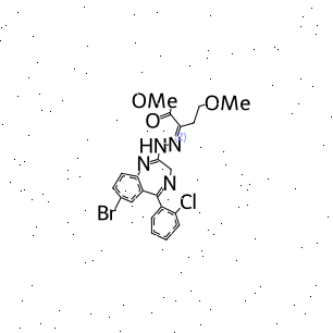 COCC/C(=N/NC1=Nc2ccc(Br)cc2C(c2ccccc2Cl)=NC1)C(=O)OC